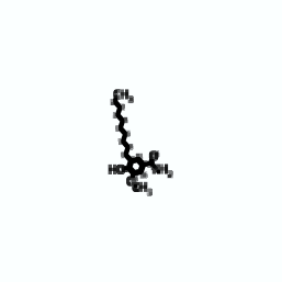 CCCCCCCCCCc1cc(C(N)=O)cc(OC)c1O